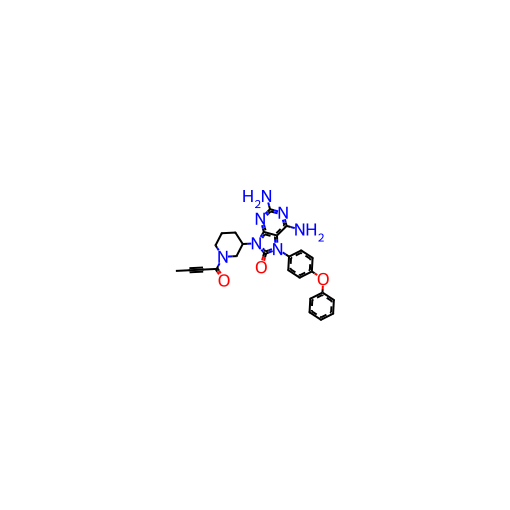 CC#CC(=O)N1CCCC(n2c(=O)n(-c3ccc(Oc4ccccc4)cc3)c3c(N)nc(N)nc32)C1